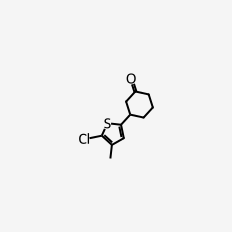 Cc1cc(C2CCCC(=O)C2)sc1Cl